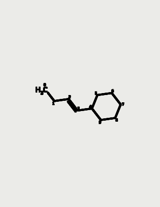 CC/C=C/C1CCCCC1